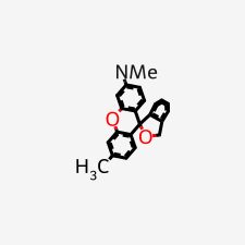 CNc1ccc2c(c1)Oc1cc(C)ccc1C21OCc2ccccc21